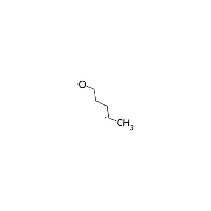 C[CH]CCC[O]